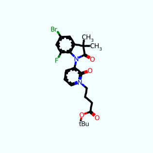 CC(C)(C)OC(=O)CCCn1cccc(N2C(=O)C(C)(C)c3cc(Br)cc(F)c32)c1=O